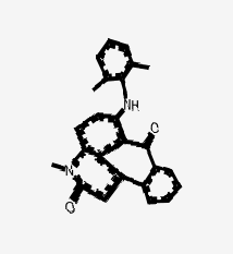 Cc1cccc(C)c1Nc1ccc2c3c(cc(=O)n2C)-c2ccccc2C(=O)c13